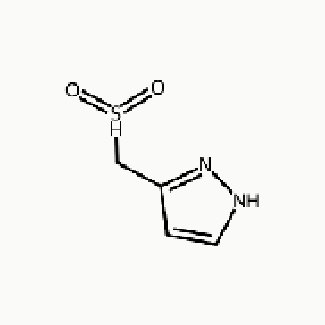 O=[SH](=O)Cc1cc[nH]n1